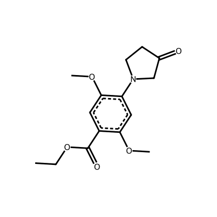 CCOC(=O)c1cc(OC)c(N2CCC(=O)C2)cc1OC